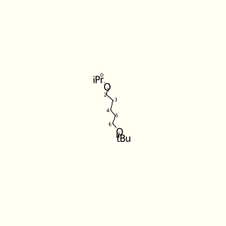 CC(C)OCCCCCOC(C)(C)C